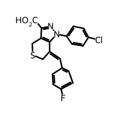 O=C(O)c1nn(-c2ccc(Cl)cc2)c2c1CSC/C2=C\c1ccc(F)cc1